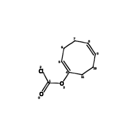 O=C(Cl)OC1=CCCC=CCC1